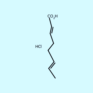 CC=CCCC=CC(=O)O.Cl